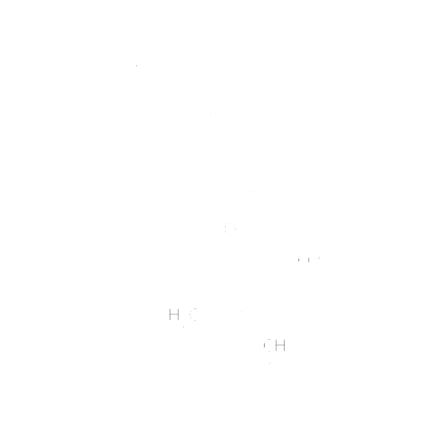 C=C(C)C(=O)Oc1cccccc2ccccccc1-2